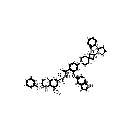 CC(C)c1ccccc1[C@H]1CCCN1C1CC2(CCN(c3ccc(C(=O)NS(=O)(=O)c4cc([N+](=O)[O-])c5c(n4)OC[C@@H](Cc4ccccc4)N5)c(Oc4cnc5[nH]ccc5c4)c3)CC2)C1